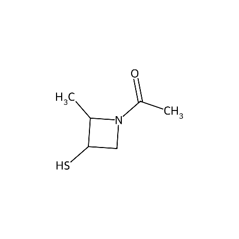 CC(=O)N1CC(S)C1C